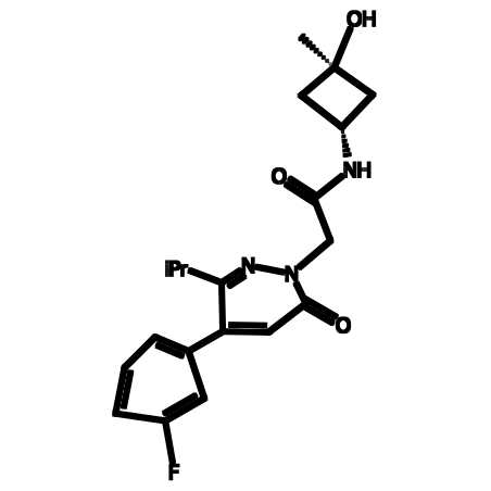 CC(C)c1nn(CC(=O)N[C@H]2C[C@](C)(O)C2)c(=O)cc1-c1cccc(F)c1